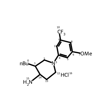 CCCCC1CN(c2cc(OC)cc(C(F)(F)F)c2)CCC1N.Cl